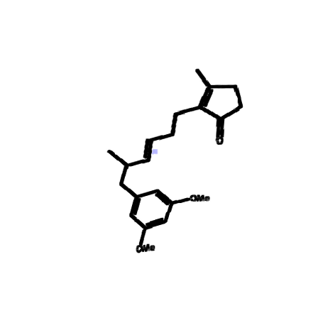 COc1cc(CC(C)/C=C/CCC2=C(C)CCC2=O)cc(OC)c1